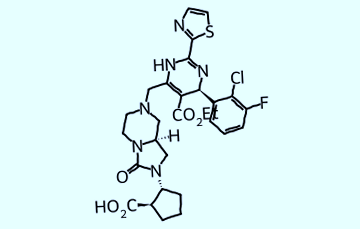 CCOC(=O)C1=C(CN2CCN3C(=O)N([C@@H]4CCC[C@H]4C(=O)O)C[C@@H]3C2)NC(c2nccs2)=N[C@H]1c1cccc(F)c1Cl